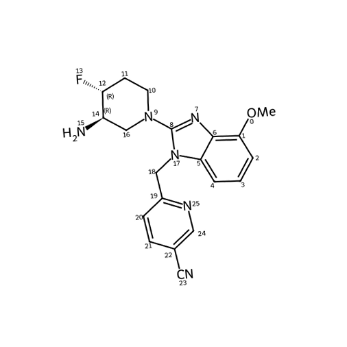 COc1cccc2c1nc(N1CC[C@@H](F)[C@H](N)C1)n2Cc1ccc(C#N)cn1